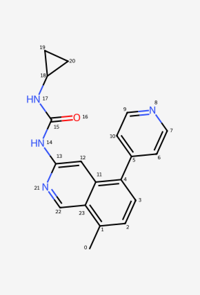 Cc1ccc(-c2ccncc2)c2cc(NC(=O)NC3CC3)ncc12